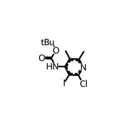 Cc1nc(Cl)c(I)c(NC(=O)OC(C)(C)C)c1C